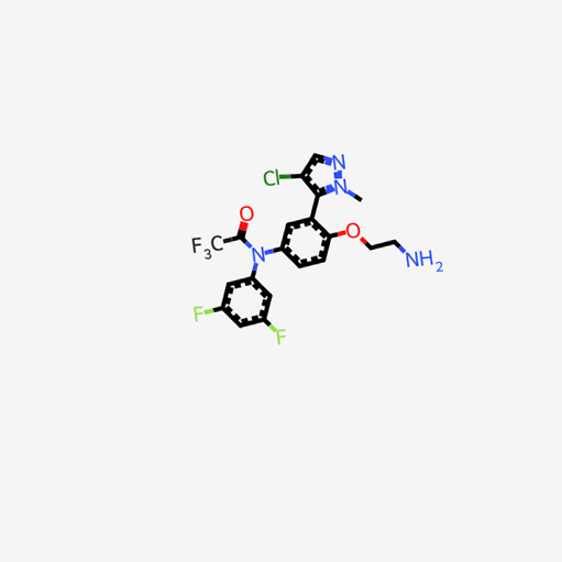 Cn1ncc(Cl)c1-c1cc(N(C(=O)C(F)(F)F)c2cc(F)cc(F)c2)ccc1OCCN